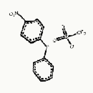 O=S(=O)([O-])C(F)(F)F.O=[N+]([O-])c1ccc([I+]c2ccccc2)cc1